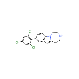 Clc1cc(Cl)c(-c2ccc3c(c2)cc2n3CCNCC2)c(Cl)c1